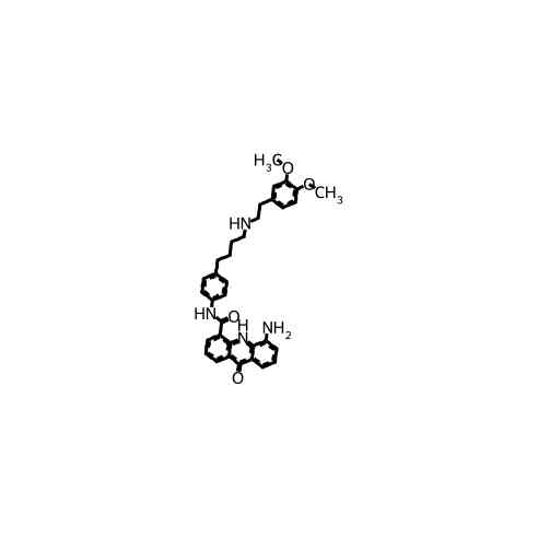 COc1ccc(CCNCCCCc2ccc(NC(=O)c3cccc4c(=O)c5cccc(N)c5[nH]c34)cc2)cc1OC